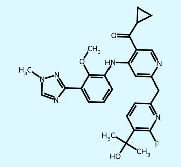 COc1c(Nc2cc(Cc3ccc(C(C)(C)O)c(F)n3)ncc2C(=O)C2CC2)cccc1-c1ncn(C)n1